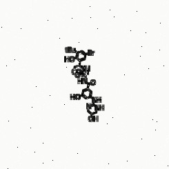 CC(C)(C)c1cc(Br)cc([C@H](CC(=O)O)NC(=O)CNC(=O)c2cc(O)cc(NC3=NCC(O)CN3)c2)c1O